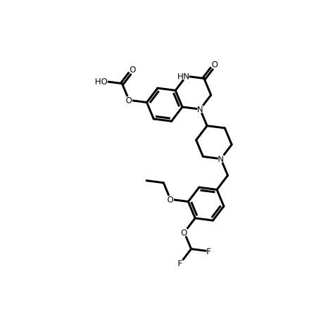 CCOc1cc(CN2CCC(N3CC(=O)Nc4cc(OC(=O)O)ccc43)CC2)ccc1OC(F)F